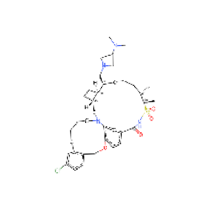 C[C@@H]1[C@@H](C)CCC[C@H](CN2CC(N(C)C)C2)[C@@H]2CC[C@H]2CN2CCCCc3cc(Cl)ccc3COc3ccc(cc32)C(=O)NS1(=O)=O